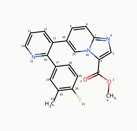 COC(=O)c1cnc2ccc(-c3cccnc3-c3ccc(F)c(C)c3)cn12